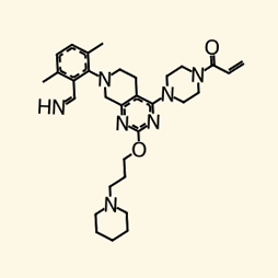 C=CC(=O)N1CCN(c2nc(OCCCN3CCCCC3)nc3c2CCN(c2c(C)ccc(C)c2C=N)C3)CC1